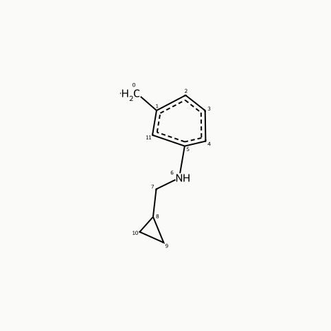 [CH2]c1cccc(NCC2CC2)c1